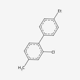 CCc1ccc(-c2ccc(C)cc2Cl)cc1